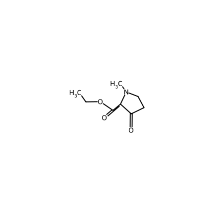 CCOC(=O)C1C(=O)CCN1C